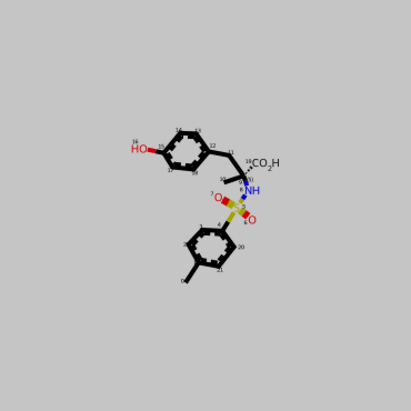 Cc1ccc(S(=O)(=O)N[C@@](C)(Cc2ccc(O)cc2)C(=O)O)cc1